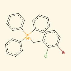 Clc1c(Br)cccc1C[PH](c1ccccc1)(c1ccccc1)c1ccccc1